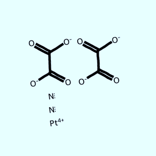 O=C([O-])C(=O)[O-].O=C([O-])C(=O)[O-].[N].[N].[Pt+4]